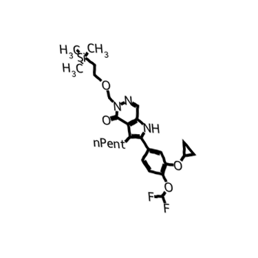 CCCCCc1c(-c2ccc(OC(F)F)c(OC3CC3)c2)[nH]c2cnn(COCC[Si](C)(C)C)c(=O)c12